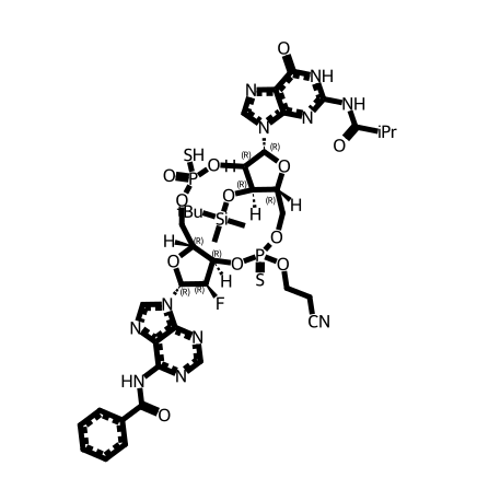 CC(C)C(=O)Nc1nc2c(ncn2[C@@H]2O[C@@H]3COP(=S)(OCCC#N)O[C@H]4[C@@H](F)[C@H](n5cnc6c(NC(=O)c7ccccc7)ncnc65)O[C@@H]4COP(=O)(S)O[C@@H]2[C@@H]3O[Si](C)(C)C(C)(C)C)c(=O)[nH]1